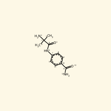 CC(C)(N)C(=O)Nc1ccc(C(N)=O)cc1